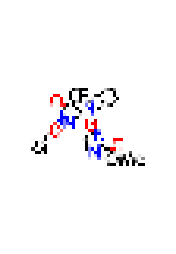 COC(=O)c1nccc(OCC2c3ccccc3CN2c2cnn(COCC[Si](C)(C)C)c(=O)c2C(F)(F)F)n1